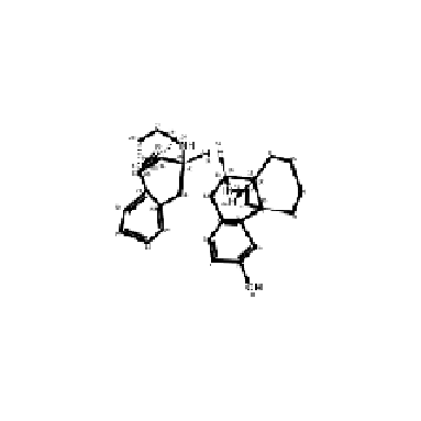 Oc1ccc2c(c1)[C@@]13CCCC[C@H]1[C@@H](C2)NCC3.c1ccc2c(c1)C[C@H]1NCC[C@@]23CCCC[C@@H]13